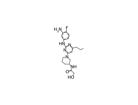 CCCc1cc(N2CCCC(NC(=O)CO)C2)nc(Nc2ccc(F)c(N)c2)n1